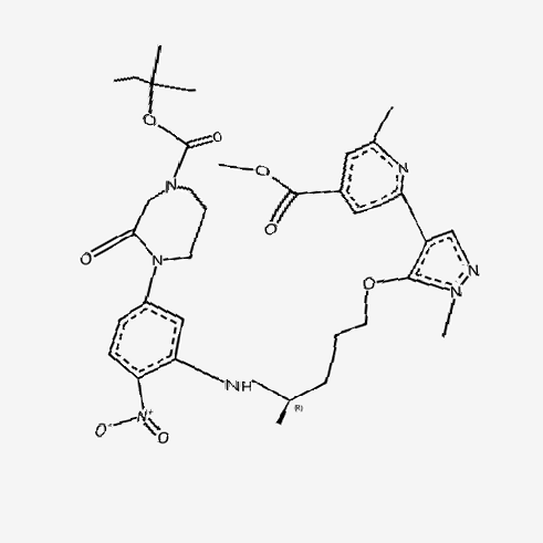 COC(=O)c1cc(C)nc(-c2cnn(C)c2OCCC[C@@H](C)CNc2cc(N3CCN(C(=O)OC(C)(C)C)CC3=O)ccc2[N+](=O)[O-])c1